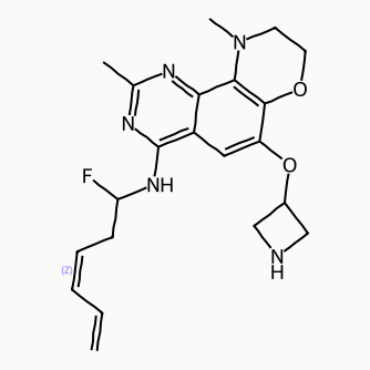 C=C/C=C\CC(F)Nc1nc(C)nc2c3c(c(OC4CNC4)cc12)OCCN3C